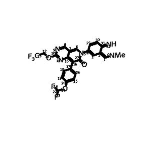 CN/C=C1/C=C(n2cc3cnc(OCC(F)(F)F)nc3c(-c3ccc(OC(F)F)cc3)c2=O)C=CC1=N